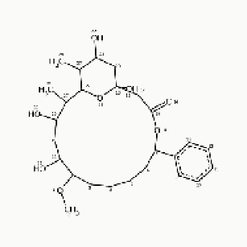 COC1CCCCC(c2ccccc2)OC(=O)CC2(O)CC(O)C(C)C(O2)C(C)C(O)CC1O